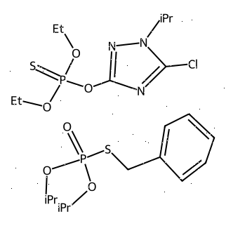 CC(C)OP(=O)(OC(C)C)SCc1ccccc1.CCOP(=S)(OCC)Oc1nc(Cl)n(C(C)C)n1